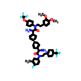 COc1ccc(CCN(C(=O)C(N)c2ccccc2)c2ccc(OC(F)(F)F)cc2)cc1OC.Cc1cc(N(CCc2ccc(C(F)(F)F)cc2)C(=O)C(N)c2ccccc2)ccc1F